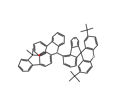 CC(C)(C)c1ccc2c(c1)C1(c3cc(C(C)(C)C)ccc3O2)c2ccccc2-c2c(N(c3ccc4c(c3)C(C)(C)c3ccccc3-4)c3ccccc3-c3ccccc3)cccc21